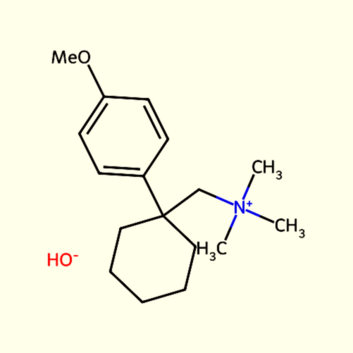 COc1ccc(C2(C[N+](C)(C)C)CCCCC2)cc1.[OH-]